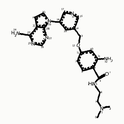 CN(C)CCNC(=O)c1ccc(OCc2cncc(-n3ccc4c(N)ncnc43)c2)cc1N